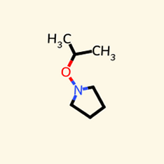 CC(C)ON1CCCC1